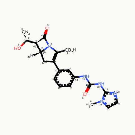 C[C@@H](O)[C@H]1C(=O)N2C(C(=O)O)=C(c3cccc(NC(=O)Nc4nccn4C)c3)C[C@H]12